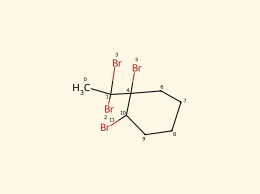 CC(Br)(Br)C1(Br)CCCCC1Br